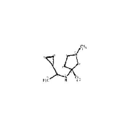 CC(N[C@]1(C)CCN(C)C1)C1CC1